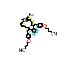 CC(C)(C)c1ccc(-c2cc(C3=C(c4cc(-c5ccc(C(C)(C)C)s5)sc4-c4ccc(OCCCCC#N)cc4)C(F)(F)C(F)(F)C3(F)F)c(-c3ccc(OCCCCC#N)cc3)s2)s1